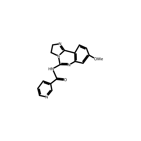 COc1ccc2c(c1)N=C(NC(=O)c1cccnc1)N1CCN=C21